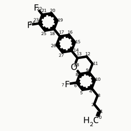 C=CCCc1cc(F)c2c(c1)CCC(c1ccc(-c3ccc(F)c(F)c3)cc1)O2